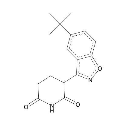 CC(C)(C)c1ccc2onc(C3CCC(=O)NC3=O)c2c1